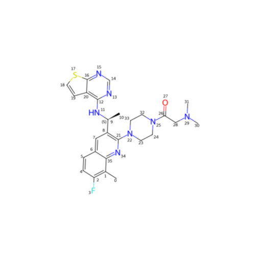 Cc1c(F)ccc2cc([C@H](C)Nc3ncnc4sccc34)c(N3CCN(C(=O)CN(C)C)CC3)nc12